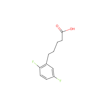 O=C(O)CCCCc1cc(F)ccc1F